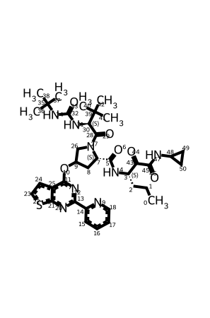 CCC[C@H](NC(=O)[C@@H]1CC(Oc2nc(-c3ccccn3)nc3sccc23)CN1C(=O)[C@@H](NC(=O)NC(C)(C)C)C(C)(C)C)C(=O)C(=O)NC1CC1